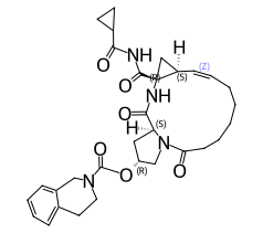 O=C(NC(=O)[C@@]12C[C@H]1/C=C\CCCCCC(=O)N1C[C@H](OC(=O)N3CCc4ccccc4C3)C[C@H]1C(=O)N2)C1CC1